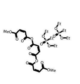 CCOP(=O)(CC)OCC.CCOP(=O)(CC)OCC.COC(=O)/C=C\C(=O)OC(=O)/C=C\C(=O)OC(=O)/C=C\C(=O)OC